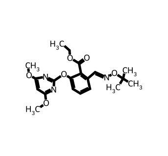 CCOC(=O)c1c(C=NOC(C)(C)C)cccc1Oc1nc(OC)cc(OC)n1